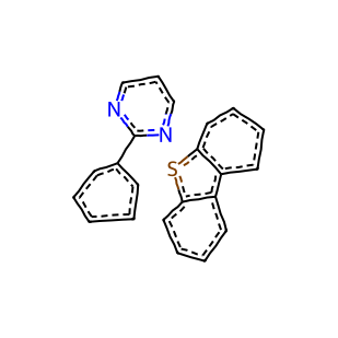 c1ccc(-c2ncccn2)cc1.c1ccc2c(c1)sc1ccccc12